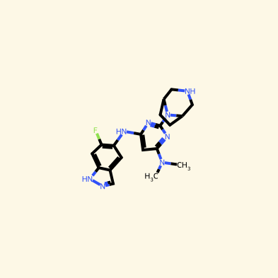 CN(C)c1cc(Nc2cc3cn[nH]c3cc2F)nc(N2C3CCC2CNC3)n1